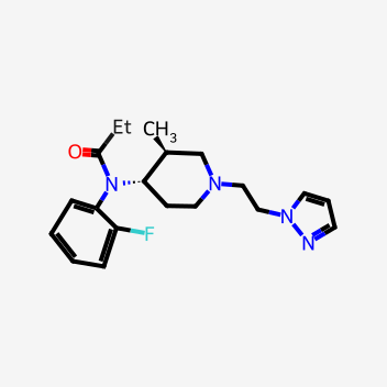 CCC(=O)N(c1ccccc1F)[C@H]1CCN(CCn2cccn2)C[C@@H]1C